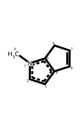 Cn1ccc2c1CC=C2